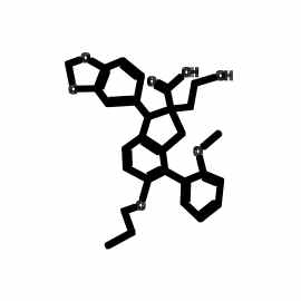 CCCOc1ccc2c(c1-c1ccccc1OC)CC(CCO)(C(=O)O)C2c1ccc2c(c1)OCO2